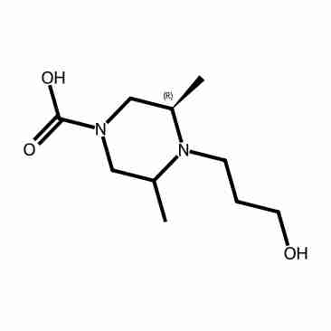 CC1CN(C(=O)O)C[C@@H](C)N1CCCO